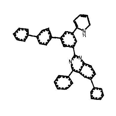 C1=CCNC(c2cc(-c3ccc(-c4ccccc4)cc3)cc(-c3nc(-c4ccccc4)c4cc(-c5ccccc5)ccc4n3)c2)=C1